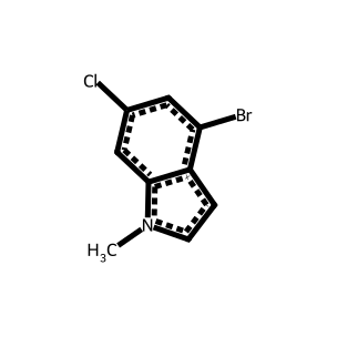 Cn1ccc2c(Br)cc(Cl)cc21